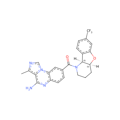 Cc1ncn2c1c(N)nc1ccc(C(=O)N3CCC[C@@H]4Oc5cc(C(F)(F)F)ccc5[C@@H]43)cc12